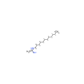 CCCCCCCCCCCCNC(C)=N